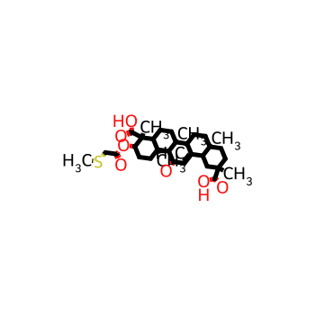 CSCC(=O)OC1CCC2(C)C(CCC3(C)C2C(=O)C=C2C4CC(C)(C(=O)O)CCC4(C)CCC23C)C1(C)C(=O)O